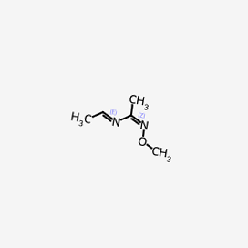 C/C=N/C(C)=N\OC